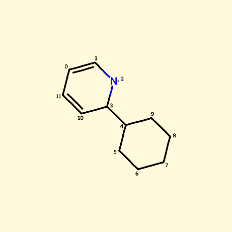 C1=C[N]C(C2CCCCC2)C=C1